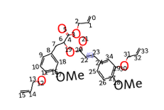 C=CCOC(=O)C(Cc1ccc(OCC=C)c(OC)c1)OC(=O)/C=C/c1ccc(OC)c(OCC=C)c1